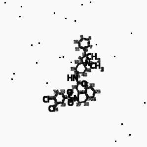 CN(C)C1(CCc2ccccc2)CCC(NC(=O)CC2c3ccccc3CCN2S(=O)(=O)c2ccc(Cl)c(Cl)c2)CC1